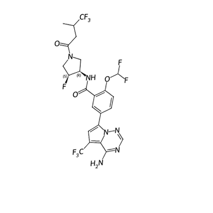 CC(CC(=O)N1C[C@H](F)[C@H](NC(=O)c2cc(-c3cc(C(F)(F)F)c4c(N)ncnn34)ccc2OC(F)F)C1)C(F)(F)F